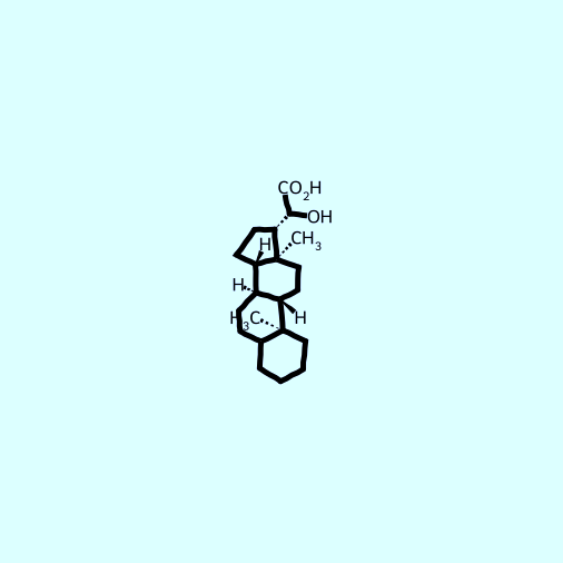 C[C@]12CC[C@H]3[C@@H](CCC4CCCC[C@@]43C)[C@@H]1CC[C@@H]2C(O)C(=O)O